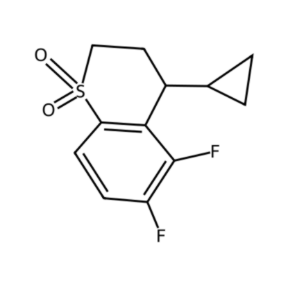 O=S1(=O)CCC(C2CC2)c2c1ccc(F)c2F